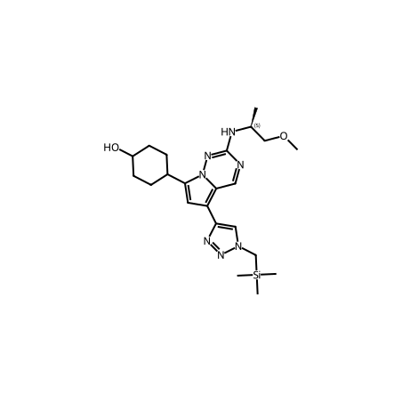 COC[C@H](C)Nc1ncc2c(-c3cn(C[Si](C)(C)C)nn3)cc(C3CCC(O)CC3)n2n1